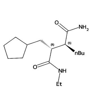 CCCC[C@H](C(N)=O)[C@@H](CC1CCCC1)C(=O)NCC